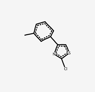 Cc1cccc(-c2csc(Cl)n2)c1